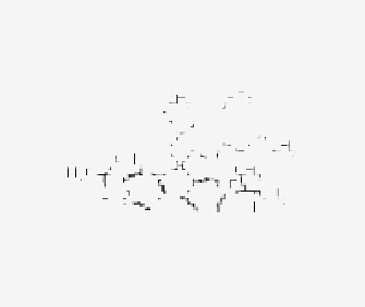 CCCCC(CC)CC1(CC(CC)CCCC)c2cc(C(C)(C)C)ccc2-c2ccc(C(C)(C)C)cc21